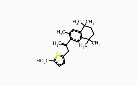 C=C(Cc1ccc(C(=O)O)s1)c1cc2c(cc1C)C(C)(C)CCC2(C)C